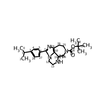 CC(C)c1ccc(-c2nc3c4n2CCN[C@@H]4CN(C(=O)OC(C)(C)C)CC3)cc1